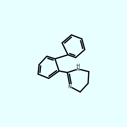 c1ccc(-c2ccccc2C2=NCCCN2)cc1